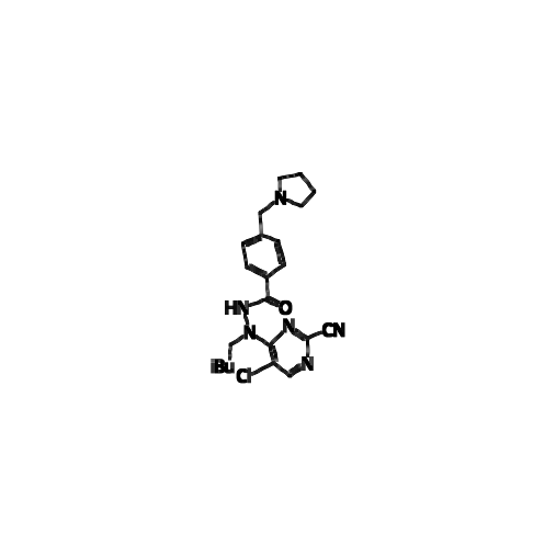 CCC(C)CN(NC(=O)c1ccc(CN2CCCC2)cc1)c1nc(C#N)ncc1Cl